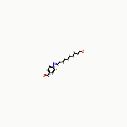 O=CCCCCCCCCC=Nc1ccc(C=O)cc1